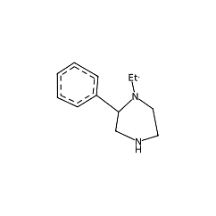 C[CH]N1CCNCC1c1ccccc1